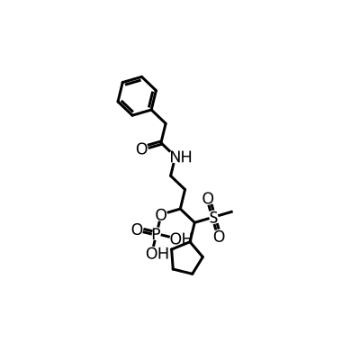 CS(=O)(=O)C(C1CCCC1)C(CCNC(=O)Cc1ccccc1)OP(=O)(O)O